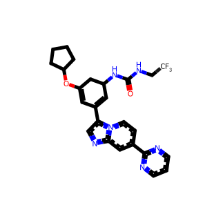 O=C(NCC(F)(F)F)NC1C=C(c2cnc3cc(-c4ncccn4)ccn23)C=C(OC2CCCC2)C1